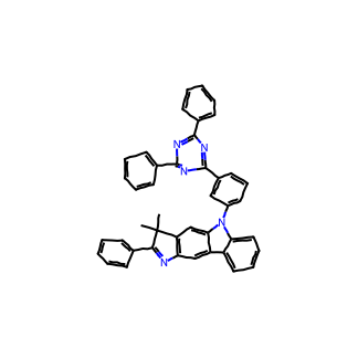 CC1(C)C(c2ccccc2)=Nc2cc3c4ccccc4n(-c4cccc(-c5nc(-c6ccccc6)nc(-c6ccccc6)n5)c4)c3cc21